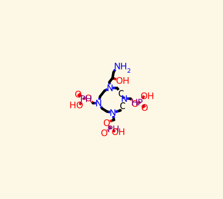 NCC(O)CN1CCN(CO[PH](=O)O)CCN(CO[PH](=O)O)CCN(CO[PH](=O)O)CC1